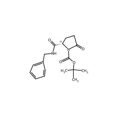 CC(C)(C)OC(=O)N1C(=O)CC[C@H]1C(=O)NCc1ccccc1